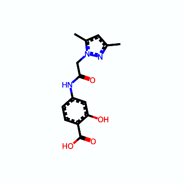 Cc1cc(C)n(CC(=O)Nc2ccc(C(=O)O)c(O)c2)n1